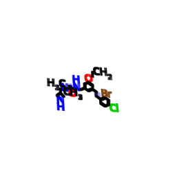 C=CCOc1cc(/C=C/c2ccc(Cl)cc2Br)cc(CNC(=O)C[N+](C)(C)CC2CNC2)c1